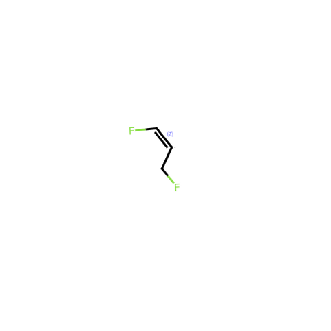 F/C=[C]\CF